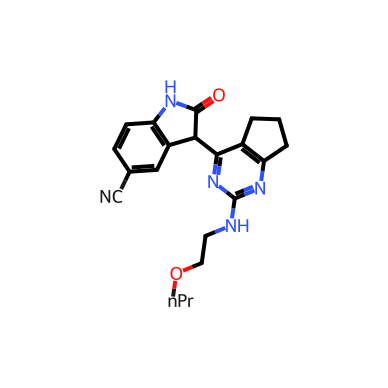 CCCOCCNc1nc2c(c(C3C(=O)Nc4ccc(C#N)cc43)n1)CCC2